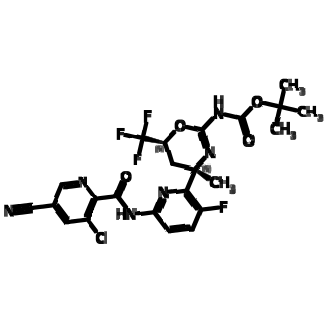 CC(C)(C)OC(=O)NC1=N[C@](C)(c2nc(NC(=O)c3ncc(C#N)cc3Cl)ccc2F)C[C@@H](C(F)(F)F)O1